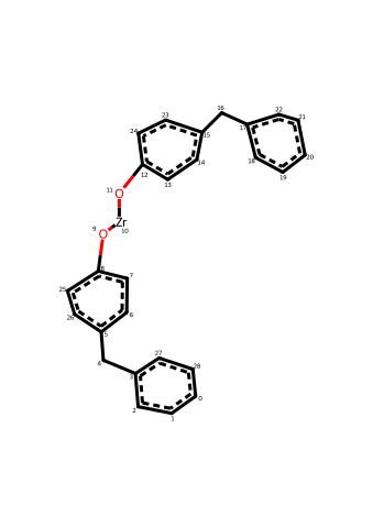 c1ccc(Cc2ccc([O][Zr][O]c3ccc(Cc4ccccc4)cc3)cc2)cc1